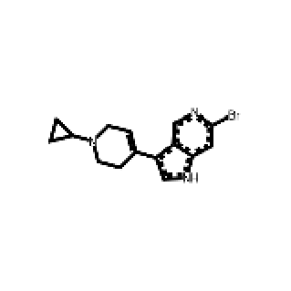 Brc1cc2[nH]cc(C3=CCN(C4CC4)CC3)c2cn1